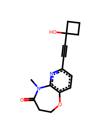 CN1C(=O)CCOc2ccc(C#CC3(O)CCC3)nc21